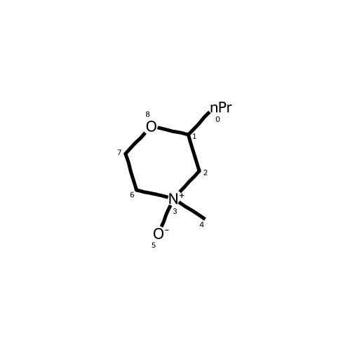 CCCC1C[N+](C)([O-])CCO1